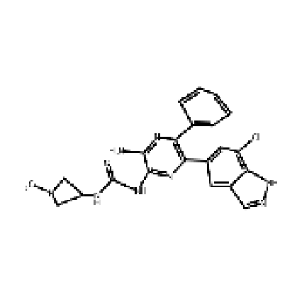 CN1CC(NC(=O)Nc2nc(-c3cc(Cl)c4[nH]ncc4c3)c(-c3ccccc3)nc2N)C1